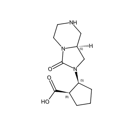 O=C(O)[C@@H]1CCC[C@@H]1N1C[C@@H]2CNCCN2C1=O